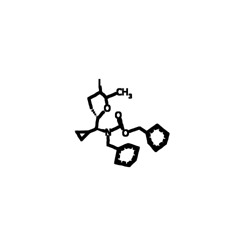 CC1O[C@H]([C@H](C2CC2)N(Cc2ccccc2)C(=O)OCc2ccccc2)CCC1I